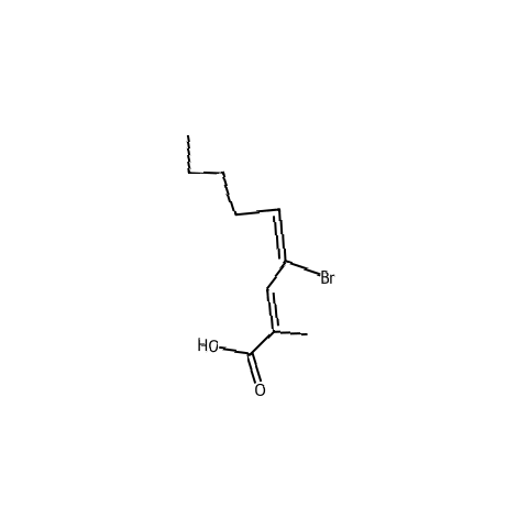 CCCC/C=C(Br)\C=C(/C)C(=O)O